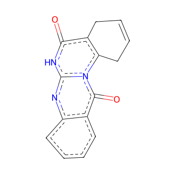 O=c1[nH]c2nc3ccccc3c(=O)n2c2c1CC=CC2